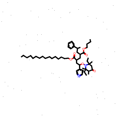 CCCCCCCCCCCCCCCCOC(=O)C(CC(CC(C)c1ccccc1)C(=O)OCCCC)CC(ON1C(C)(CC)CC(=O)C(C)C1(C)CC)c1ccncc1